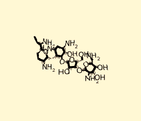 CC[C@@H](N)[C@@H]1CC[C@@H](N)[C@@H](C[C@H]2[C@H](O[C@@H]3O[C@H](CO)[C@@H](O[C@H]4O[C@@H](CN)[C@@H](O)[C@H](O)[C@H]4N)[C@H]3O)[C@@H](O)[C@H](N)C[C@@H]2N)O1